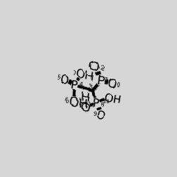 O=P(=O)C(P(=O)(O)O)P(=O)(O)O